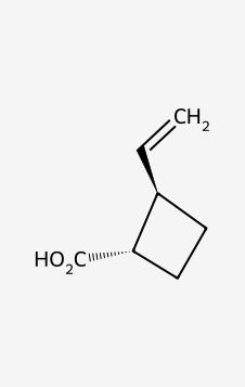 C=C[C@H]1CC[C@@H]1C(=O)O